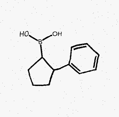 OB(O)C1CCCC1c1ccccc1